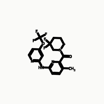 Cc1ccc(Nc2cc(OC(F)(F)F)ccn2)nc1C(=O)N1[CH]CCC(F)(F)C1